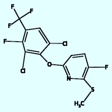 CSc1nc(Oc2c(Cl)cc(C(F)(F)F)c(F)c2Cl)ccc1F